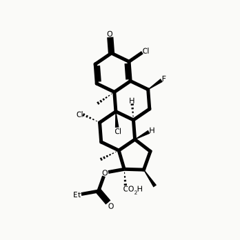 CCC(=O)O[C@]1(C(=O)O)[C@H](C)C[C@H]2[C@@H]3C[C@H](F)C4=C(Cl)C(=O)C=C[C@]4(C)[C@@]3(Cl)[C@@H](Cl)C[C@@]21C